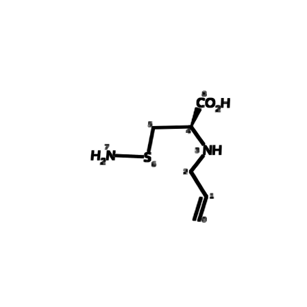 C=CCN[C@@H](CSN)C(=O)O